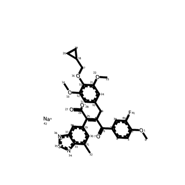 COc1ccc(C(=O)C(Cc2cc(OC)c(OCC3CC3)c(OC)c2)=C(C(=O)[O-])c2cc(C)c3nsnc3c2)cc1F.[Na+]